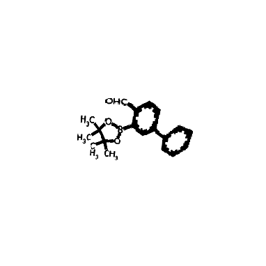 CC1(C)OB(c2cc(-c3ccccc3)ccc2C=O)OC1(C)C